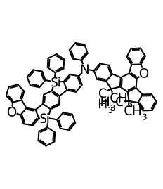 CC1(C)c2ccccc2-c2c1c1c(c3c2oc2ccccc23)-c2ccc(N(c3ccccc3)c3ccc4c(c3)[Si](c3ccccc3)(c3ccccc3)c3cc5c(cc3-4)[Si](c3ccccc3)(c3ccccc3)c3ccc4oc6ccccc6c4c3-5)cc2C1(C)C